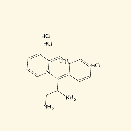 Cl.Cl.Cl.NCC(N)C1=C2C=CC=CC23C=COC3=C2C=CC=CN21